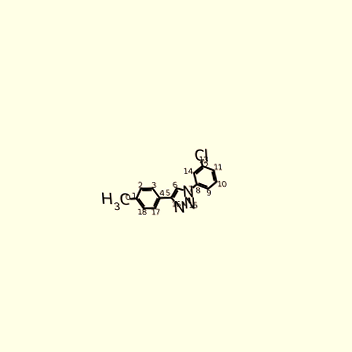 Cc1ccc(-c2cn(-c3cccc(Cl)c3)nn2)cc1